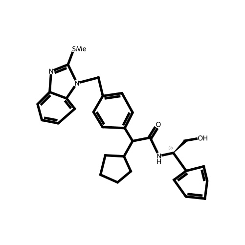 CSc1nc2ccccc2n1Cc1ccc(C(C(=O)N[C@@H](CO)c2ccccc2)C2CCCC2)cc1